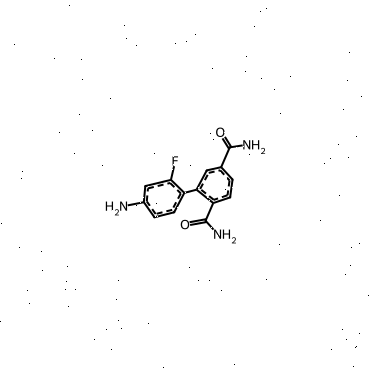 NC(=O)c1ccc(C(N)=O)c(-c2ccc(N)cc2F)c1